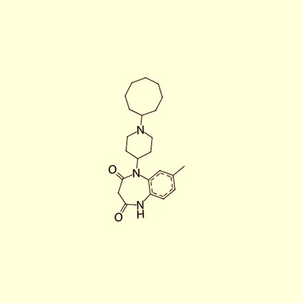 Cc1ccc2c(c1)N(C1CCN(C3CCCCCCC3)CC1)C(=O)CC(=O)N2